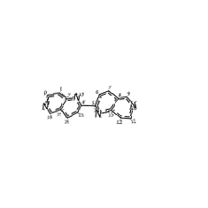 c1cc2nc(-c3ccc4cnccc4n3)ccc2cn1